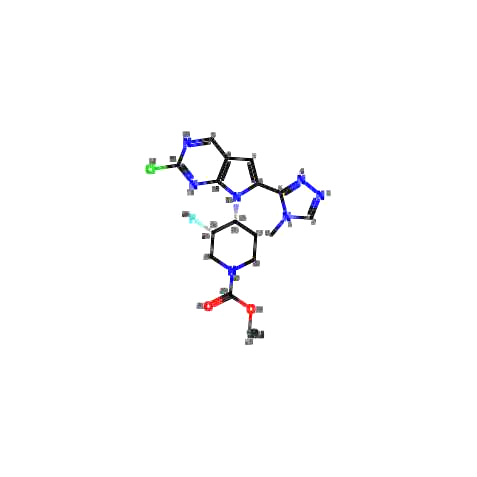 Cn1cnnc1-c1cc2cnc(Cl)nc2n1[C@@H]1CCN(C(=O)OC(C)(C)C)C[C@@H]1F